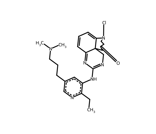 CCc1ncc(CCCN(C)C)cc1NC1=NCC23CC(=O)CCN(Cl)C2=CC=CC3=N1